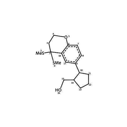 CSC1(SC)CCOc2ccc(C3CCCC3CO)cc21